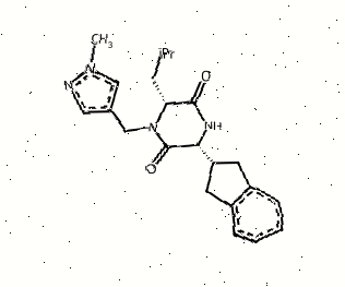 CC(C)C[C@@H]1C(=O)N[C@H](C2Cc3ccccc3C2)C(=O)N1Cc1cnn(C)c1